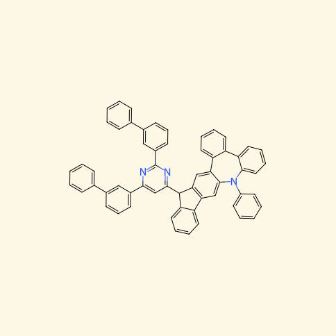 c1ccc(-c2cccc(-c3cc(C4c5ccccc5-c5cc6c(cc54)-c4ccccc4-c4ccccc4N6c4ccccc4)nc(-c4cccc(-c5ccccc5)c4)n3)c2)cc1